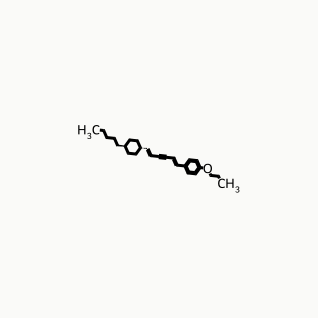 CCCCC[C@H]1CC[C@H](C=CC#CC=Cc2ccc(OCCC)cc2)CC1